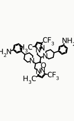 Cc1cc(C(F)(F)F)nn1CC(C(=O)C(Cn1nc(C(F)(F)F)cc1C)N1CCC(c2cccc(N)c2)CC1)N1CCC(c2cccc(N)c2)CC1